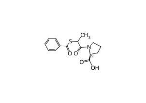 CC(SC(=O)c1ccccc1)C(=O)N1CCC[C@H]1C(=O)O